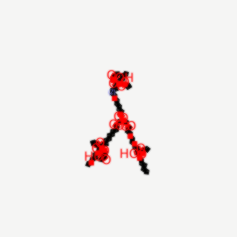 C=CC(=O)OC(CCCCCCCC(=O)OCC(COC(=O)CCCCCCCC(OC(=O)C=C)C(CCCCCCCC)OC(C)(C)C(=O)C(C)O)OC(=O)CCCCCCC/C=C\CC(OC(C)(C)C(=O)C(C)O)C(CCCCC)OC(=O)C=C)C(O)CCCCCCCC